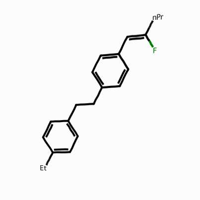 CCCC(F)=Cc1ccc(CCc2ccc(CC)cc2)cc1